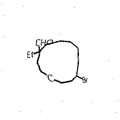 CCC1(C=O)CCCCCC(Br)CCCCC1